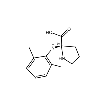 Cc1cccc(C)c1N[C@@]1(C(=O)O)CCCN1